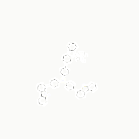 CC1(C)c2ccccc2-c2ccc(-c3ccc(N(c4ccc(-c5cccc6c5sc5ccccc56)cc4)c4ccc(-c5cccc6c5sc5ccccc56)cc4)cc3)cc21